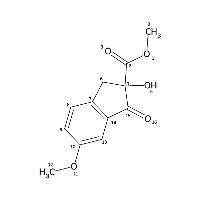 COC(=O)C1(O)Cc2ccc(OC)cc2C1=O